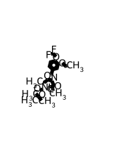 CCOc1cc(-c2nc(C(=O)OC)c(C(C)NC(=O)OC(C)(C)C)o2)ccc1OC(F)F